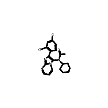 CC(=O)N(c1c(-c2ccc(Cl)cc2Cl)nc2ncccn12)C1CCCCC1